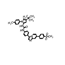 Cc1ccc(-n2nc(C(C)(C)C)cc2NC(=O)Nc2ccc(-c3cnc4cc(-c5ccc(S(C)(=O)=O)cc5)ccn34)cc2)cc1